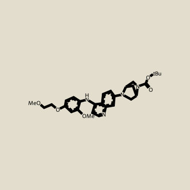 COCCOc1ccc(Nc2ccnc3cc(N4CC5CC4CN5C(=O)OC(C)(C)C)ccc23)c(OC)c1